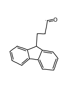 O=[C]CCC1c2ccccc2-c2ccccc21